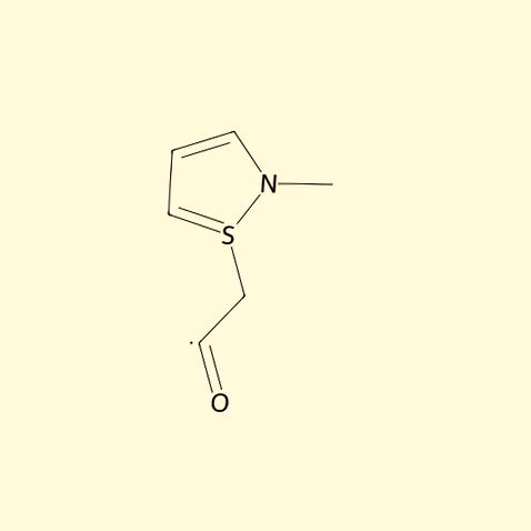 CN1C=CC=S1C[C]=O